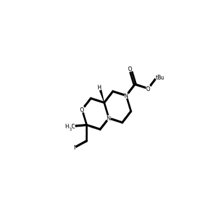 CC(C)(C)OC(=O)N1CCN2CC(C)(CI)OC[C@@H]2C1